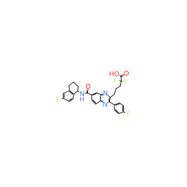 O=C(NC1CCCc2cc(F)ccc21)c1ccc2nc(-c3ccc(F)cc3)c(CCCC(F)(F)C(=O)O)nc2c1